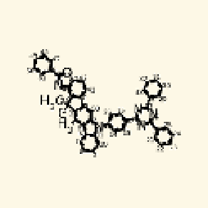 CC1(C)c2cc3c4ccccc4n(-c4ccc(-c5nc(-c6ccccc6)nc(-c6ccccc6)n5)cc4)c3cc2-c2ccc3oc(-c4ccccc4)nc3c21